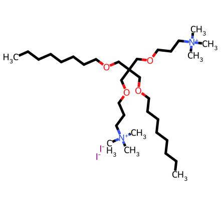 CCCCCCCCOCC(COCCCCCCCC)(COCCC[N+](C)(C)C)COCCC[N+](C)(C)C.[I-].[I-]